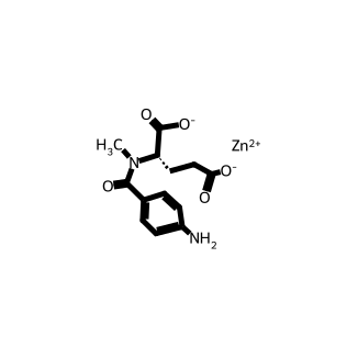 CN(C(=O)c1ccc(N)cc1)[C@@H](CCC(=O)[O-])C(=O)[O-].[Zn+2]